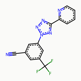 N#Cc1cc(-n2nnc(-c3ccccn3)n2)cc(C(F)(F)F)c1